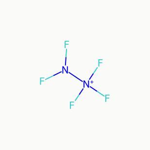 FN(F)[N+](F)(F)F